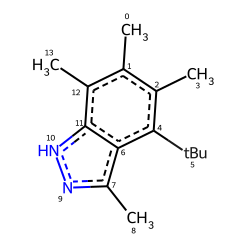 Cc1c(C)c(C(C)(C)C)c2c(C)n[nH]c2c1C